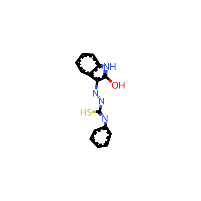 Oc1[nH]c2ccccc2c1/N=N/C(S)=N/c1ccccc1